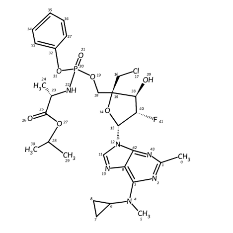 Cc1nc(N(C)C2CC2)c2ncn([C@@H]3O[C@](CCl)(COP(=O)(N[C@@H](C)C(=O)OC(C)C)Oc4ccccc4)[C@@H](O)[C@@H]3F)c2n1